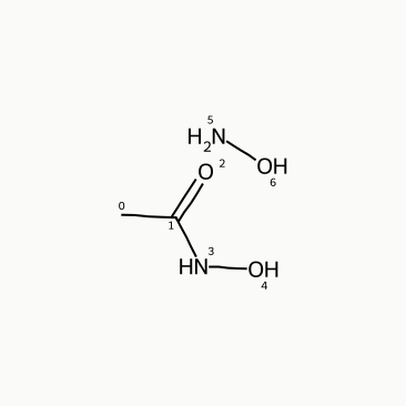 CC(=O)NO.NO